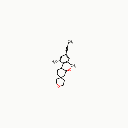 CC#Cc1cc(C)c(C2CCC3(CCOCC3)CC2=O)c(C)c1